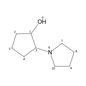 OC1CCCC1N1CCCC1